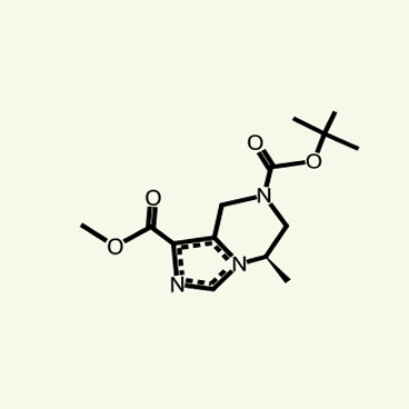 COC(=O)c1ncn2c1CN(C(=O)OC(C)(C)C)C[C@H]2C